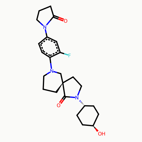 O=C1CCCN1c1ccc(N2CCC[C@]3(CCN([C@H]4CC[C@H](O)CC4)C3=O)C2)c(F)c1